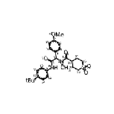 COc1ccc(C(C(=O)Nc2ccc(C(C)(C)C)cc2)N(C)C(=O)C2CCS(=O)(=O)CC2)cc1